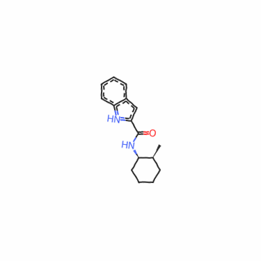 C[C@H]1CCCC[C@H]1NC(=O)c1cc2ccccc2[nH]1